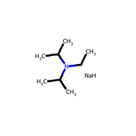 CCN(C(C)C)C(C)C.[NaH]